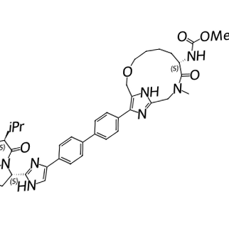 COC(=O)N[C@H]1CCCCOCc2[nH]c(nc2-c2ccc(-c3ccc(-c4c[nH]c([C@@H]5CCCN5C(=O)[C@@H](C)C(C)C)n4)cc3)cc2)CN(C)C1=O